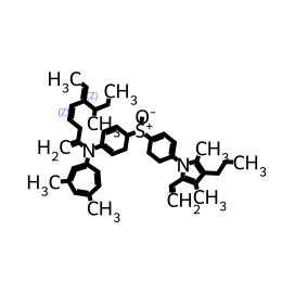 C=Cc1c(C)c(CCC)c(C)n1C1=CC=C([S+]([O-])C2C=CC(N(C(=C)C/C=C\C(=C/C)C(C)CC)C3=C=C(C)C=C(C)C=C3)=CC2)CC1